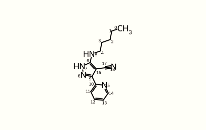 CCCCCNc1[nH]nc(-c2ccccn2)c1C#N